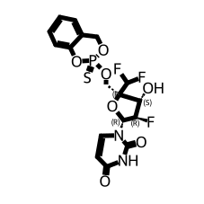 O=c1ccn([C@@H]2O[C@@](COP3(=S)OCc4ccccc4O3)(C(F)F)[C@H](O)[C@H]2F)c(=O)[nH]1